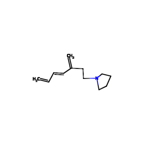 C=CC=CC(=C)CCN1CCCC1